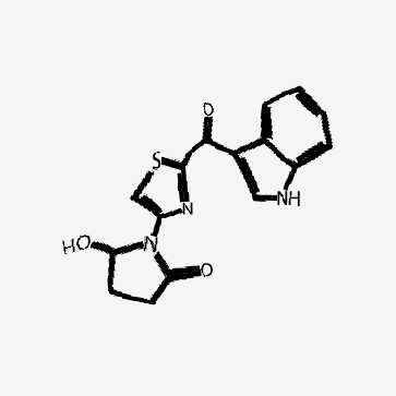 O=C(c1nc(N2C(=O)CCC2O)cs1)c1c[nH]c2ccccc12